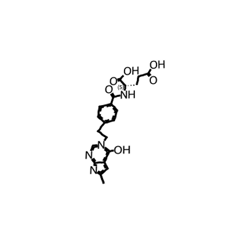 Cc1cc2c(O)n(CCc3ccc(C(=O)N[C@@H](CCC(=O)O)C(=O)O)cc3)cnc-2n1